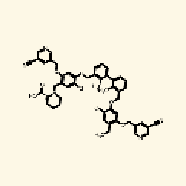 CCc1cc(Cl)c(OCc2cccc(-c3cccc(COc4cc(OCc5cncc(C#N)c5)c(CN5CCCC[C@H]5C(=O)O)cc4Cl)c3C)c2C)cc1OCc1cncc(C#N)c1